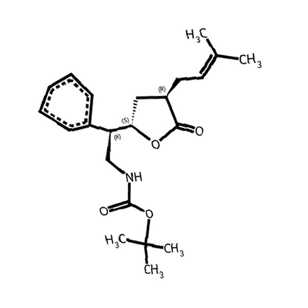 CC(C)=CC[C@@H]1C[C@@H]([C@@H](CNC(=O)OC(C)(C)C)c2ccccc2)OC1=O